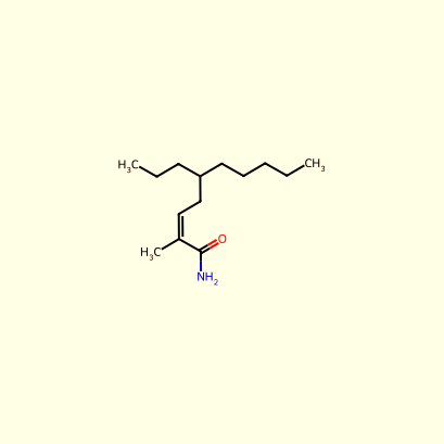 CCCCCC(CC=C(C)C(N)=O)CCC